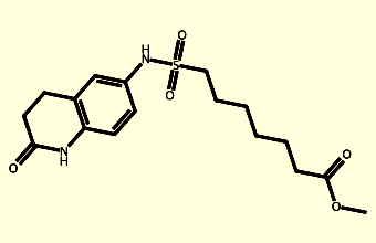 COC(=O)CCCCCCS(=O)(=O)Nc1ccc2c(c1)CCC(=O)N2